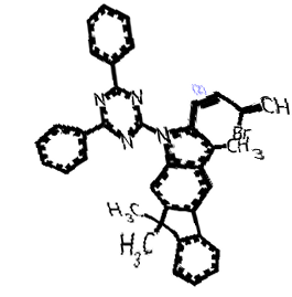 C=C(Br)/C=C\c1c(C)c2cc3c(cc2n1-c1nc(-c2ccccc2)nc(-c2ccccc2)n1)C(C)(C)c1ccccc1-3